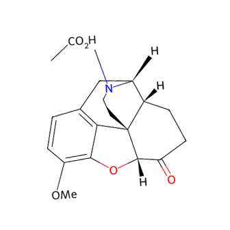 CC(=O)O.COc1ccc2c3c1O[C@H]1C(=O)CC[C@H]4[C@@H](C2)N(C)CC[C@]314